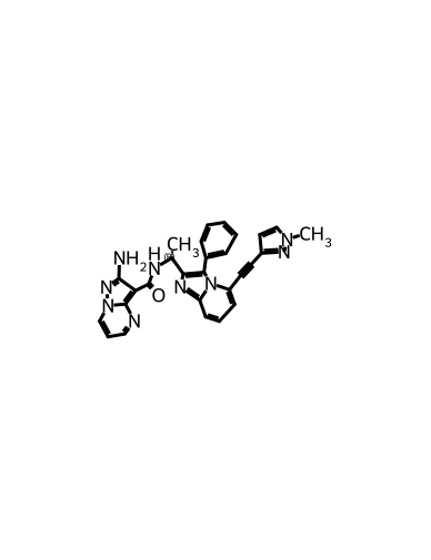 C[C@@H](NC(=O)c1c(N)nn2cccnc12)c1nc2cccc(C#Cc3ccn(C)n3)n2c1-c1ccccc1